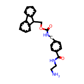 NCCNC(=O)c1ccc(CNC(=O)OCC2c3ccccc3-c3ccccc32)cc1